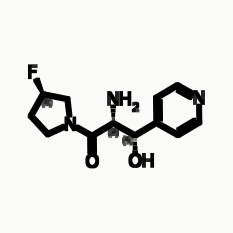 N[C@@H](C(=O)N1CC[C@@H](F)C1)[C@@H](O)c1ccncc1